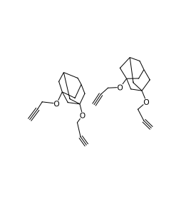 C#CCOC12CC3CC(C1)CC(OCC#C)(C3)C2.C#CCOC12CC3CC(C1)CC(OCC#C)(C3)C2